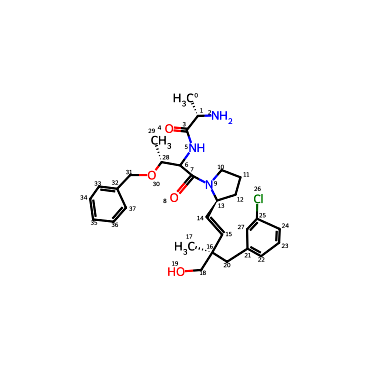 C[C@H](N)C(=O)NC(C(=O)N1CCC[C@H]1/C=C/[C@](C)(CO)Cc1cccc(Cl)c1)[C@@H](C)OCc1ccccc1